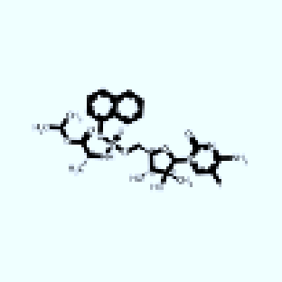 CC(C)OC(=O)[C@@H](C)NP(=O)(OC[C@H]1OC(n2cc(I)c(N)nc2=O)[C@](C)(O)[C@@H]1O)Oc1cccc2ccccc12